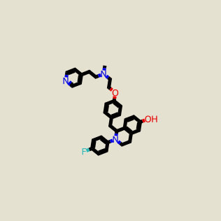 CN(CCOc1ccc(CC2c3ccc(O)cc3CCN2c2ccc(F)cc2)cc1)CCc1ccncc1